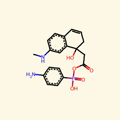 CNc1ccc2c(c1)C(O)(CC(=O)OP(=O)(O)c1ccc(N)cc1)CC=C2